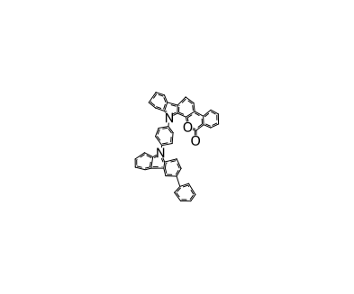 O=c1oc2c(ccc3c4ccccc4n(-c4ccc(-n5c6ccccc6c6cc(-c7ccccc7)ccc65)cc4)c32)c2ccccc12